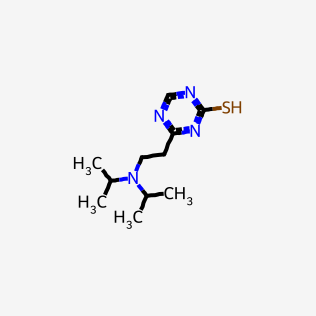 CC(C)N(CCc1ncnc(S)n1)C(C)C